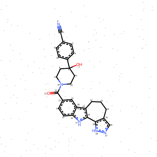 N#Cc1ccc(C2(O)CCN(C(=O)c3ccc4[nH]c5c(c4c3)CCCc3cn[nH]c3-5)CC2)cc1